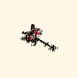 C#CCNc1nc(NCCNC(=O)CCC(C)SSc2ccccc2CC(=O)O[C@@H](C(=O)O[C@H]2C[C@@]3(O)[C@@H](OC(=O)c4ccccc4)[C@H]4C(C)(C(=O)[C@H](OC(=O)C5CC5)C(=C2C)C3(C)C)[C@@H](O)C[C@H]2OC[C@]24OC(C)=O)[C@H](C=C(C)C)NC(=O)OC(C)(C)C)nc(NCCOCCNC(=O)CCCC[C@@H]2SC[C@@H]3NC(=O)N[C@@H]32)n1